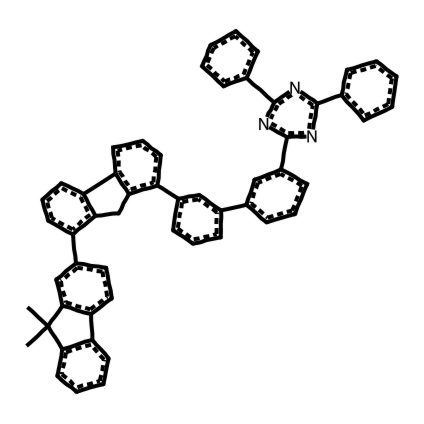 CC1(C)c2ccccc2-c2ccc(-c3cccc4c3Cc3c(-c5cccc(-c6cccc(-c7nc(-c8ccccc8)nc(-c8ccccc8)n7)c6)c5)cccc3-4)cc21